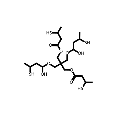 CC(S)CC(=O)OCC(COC(=O)CC(C)S)(COC(O)CC(C)S)COC(O)CC(C)S